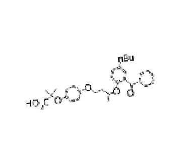 CCCCc1ccc(OC(C)CCOc2ccc(OC(C)(C)C(=O)O)cc2)c(C(=O)c2ccccc2)c1